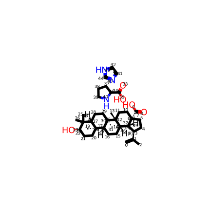 C=C(C)[C@@H]1CC[C@]2(C(=O)O)CC[C@]3(C)[C@H](CC[C@@H]4[C@@]5(C)CC[C@H](O)C(C)(C)[C@@H]5CC[C@]43C)[C@@H]12.O=C(O)C1CCCN1.c1c[nH]cn1